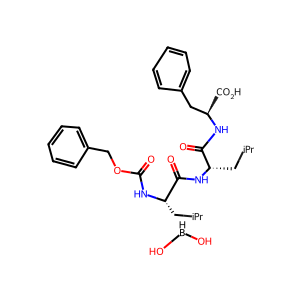 CC(C)C[C@H](NC(=O)OCc1ccccc1)C(=O)N[C@@H](CC(C)C)C(=O)N[C@@H](Cc1ccccc1)C(=O)O.OBO